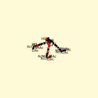 CC(=O)N/C(=C(\OC(C)=O)C(CCOC(C)=O)OC(C)=O)C(O)OCCOCCOCCNC(=O)CN(CC(=O)NCCOCCOCCOC(O)/C(NC(C)=O)=C(\OC(C)=O)C(CCOC(C)=O)OC(C)=O)C(Cc1ccc(O)cc1)C(=O)NCCOCCOCCOC(O)/C(NC(C)=O)=C(\OC(C)=O)C(CCOC(C)=O)OC(C)=O